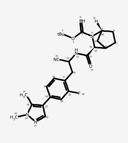 B=C(OC(C)(C)C)N1[C@@H]2CCC(C2)[C@H]1C(=O)NC(C#N)Cc1ccc(-c2cnn(C)c2C)cc1F